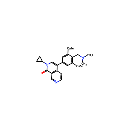 COc1cc(-c2cn(C3CC3)c(=O)c3cnccc23)cc(OC)c1CN(C)C(=O)O